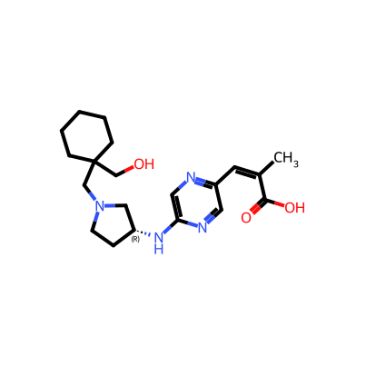 CC(=Cc1cnc(N[C@@H]2CCN(CC3(CO)CCCCC3)C2)cn1)C(=O)O